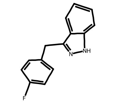 Fc1ccc(Cc2n[nH]c3ccccc23)cc1